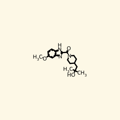 COc1ccc2[nH]c(C(=O)N3CCC(CC(C)(C)O)CC3)nc2c1